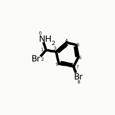 NC(Br)c1cccc(Br)c1